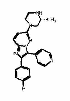 C[C@@H]1CN(c2ccc3nc(-c4ccc(F)cc4)c(-c4ccncc4)n3n2)CCN1